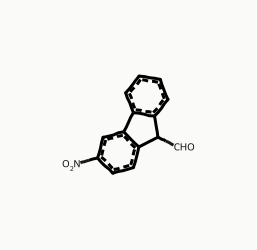 O=CC1c2ccccc2-c2cc([N+](=O)[O-])ccc21